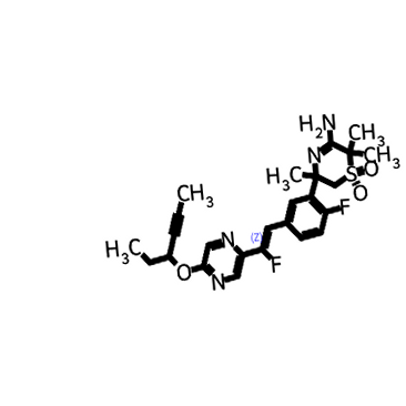 CC#CC(CC)Oc1cnc(/C(F)=C/c2ccc(F)c(C3(C)CS(=O)(=O)C(C)(C)C(N)=N3)c2)cn1